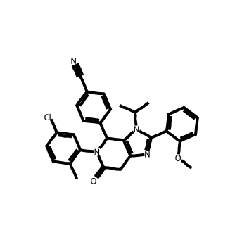 COc1ccccc1-c1nc2c(n1C(C)C)C(c1ccc(C#N)cc1)N(c1cc(Cl)ccc1C)C(=O)C2